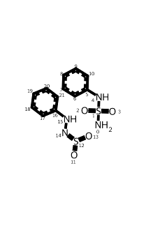 NS(=O)(=O)Nc1ccccc1.O=S(=O)=NNc1ccccc1